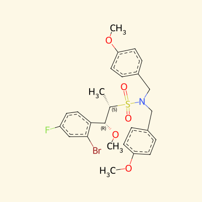 COc1ccc(CN(Cc2ccc(OC)cc2)S(=O)(=O)[C@@H](C)[C@H](OC)c2ccc(F)cc2Br)cc1